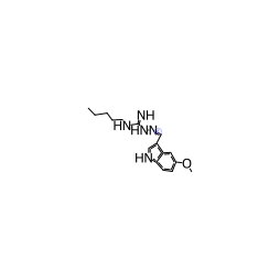 CCCCCNC(=N)N/N=C\c1c[nH]c2ccc(OC)cc12